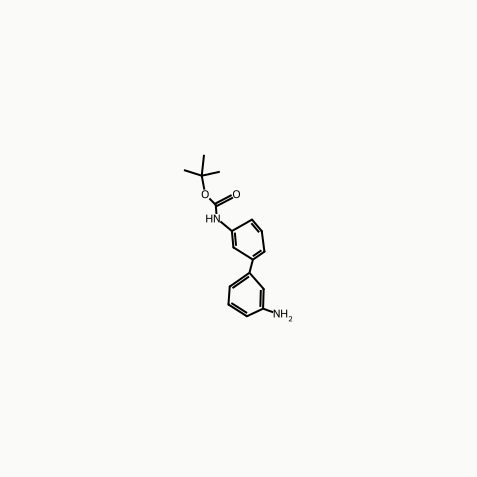 CC(C)(C)OC(=O)Nc1cccc(-c2cccc(N)c2)c1